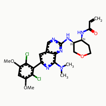 C=CC(=O)N[C@H]1CCOC[C@H]1Nc1ncc2cc(-c3c(Cl)c(OC)cc(OC)c3Cl)nc(N(C)C)c2n1